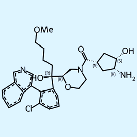 COCCCC[C@@](O)(c1cccc(Cl)c1-c1cncc2ccccc12)[C@H]1CN(C(=O)[C@H]2C[C@@H](N)[C@@H](O)C2)CCO1